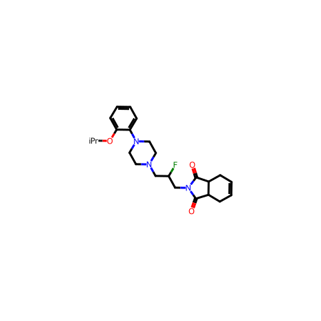 CC(C)Oc1ccccc1N1CCN(CC(F)CN2C(=O)C3CC=CCC3C2=O)CC1